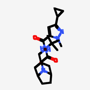 Cn1nc(C2CC2)cc1C(=O)NCC1CC2CCC(C1)N2CC(=O)NC(C)(C)C